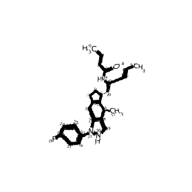 CCCC(=O)NC(CCC)C[C@H]1CCC2=C1[C@@H](C)C1=CNN(c3ccc(F)cc3)C1=C2